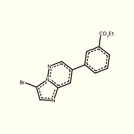 CCOC(=O)c1cccc(-c2cnn3c(Br)cnc3c2)c1